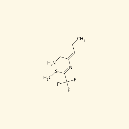 CC/C=C(CN)/N=C(\SC)C(F)(F)F